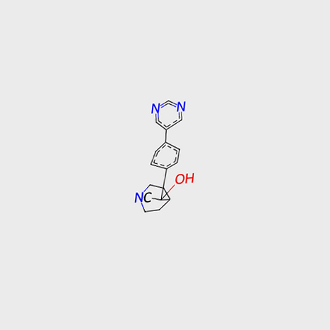 OC1(c2ccc(-c3cncnc3)cc2)CN2CCC1CC2